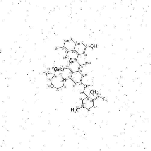 CCc1c(F)ccc2cc(O)cc(-c3nc(OC)c4c(N5CCOC[C@@](C)(O)C5)nc(OC[C@]5(C)CN(C)CC/C5=C\F)nc4c3F)c12